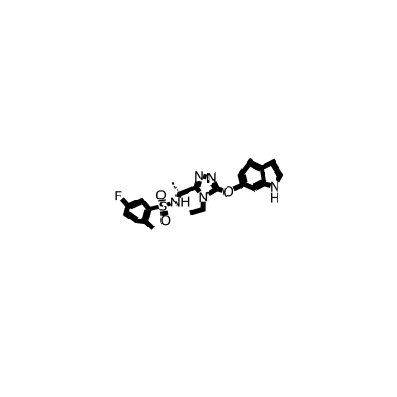 CCn1c(Oc2ccc3cc[nH]c3c2)nnc1[C@@H](C)NS(=O)(=O)c1cc(F)ccc1C